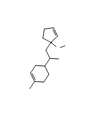 CCOC1(CC(C)C2CC=C(C)CC2)C=CCC1